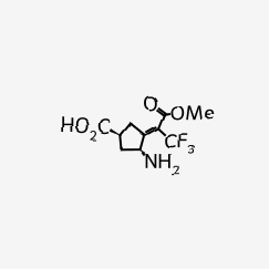 COC(=O)/C(=C1\C[C@H](C(=O)O)C[C@@H]1N)C(F)(F)F